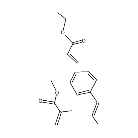 C=C(C)C(=O)OC.C=CC(=O)OCC.CC=Cc1ccccc1